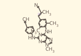 C#Cc1ccc(Nc2nc(Nc3c(C)cc(/C=C(\C)C#N)cc3C)c3ncn(C)c3n2)cc1